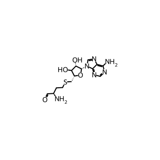 Nc1ncnc2c1ncn2[C@@H]1O[C@H](CSCC[C@@H](N)C=O)C(O)[C@@H]1O